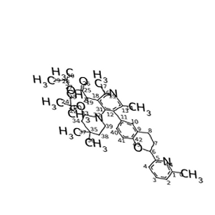 Cc1cccc(C2CCc3cc(-c4c(C)nc(C)c(C(OC(C)(C)C)C(=O)OC(C)C)c4N4CCC(C)(C)CC4)ccc3O2)n1